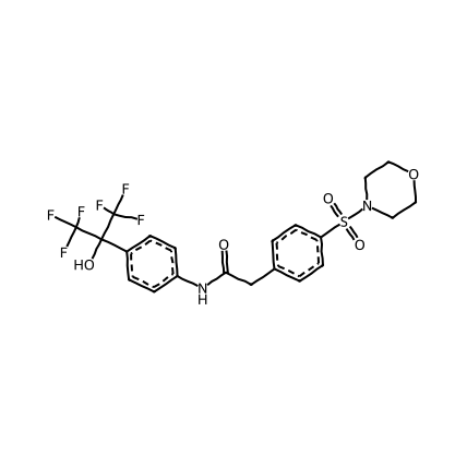 O=C(Cc1ccc(S(=O)(=O)N2CCOCC2)cc1)Nc1ccc(C(O)(C(F)(F)F)C(F)(F)F)cc1